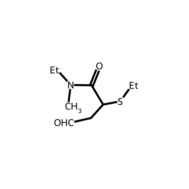 CCSC(CC=O)C(=O)N(C)CC